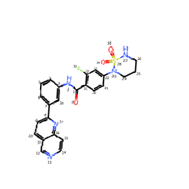 O=C(Nc1cccc(-c2ccc3cnccc3n2)c1)c1ccc(N2CCCNS2(=O)=O)cc1F